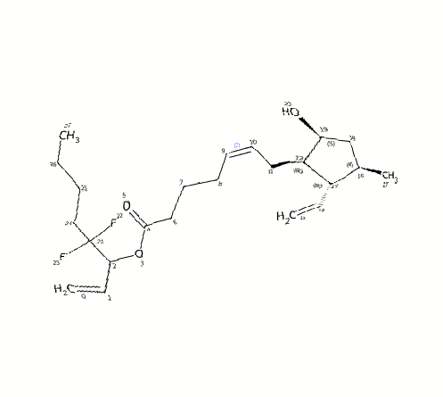 C=CC(OC(=O)CCC/C=C\C[C@@H]1[C@@H](C=C)[C@H](C)C[C@@H]1O)C(F)(F)CCCC